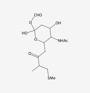 CSCC(C)C(=O)CC1OC(O)(OC=O)CC(O)C1NC(C)=O